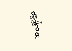 O=C(O)C(CCn1nnc2ccccc2c1=O)[C@H](O)CCc1ccc(-c2ccc(Cl)c(F)c2)cc1